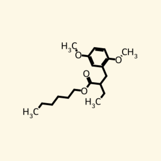 CCCCCCOC(=O)C(CC)Cc1cc(OC)ccc1OC